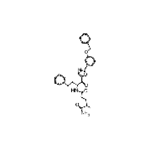 CC(C[CH]C(=O)N[C@@H](CCc1ccccc1)C(=O)c1cnc(-c2cccc(OCc3ccccc3)c2)o1)C(N)=O